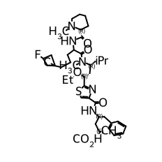 CCO[C@H](C[C@H](C(C)C)N(C)C(=O)C(CCCC12CC(F)(C1)C2)NC(=O)[C@H]1CCCCN1C)c1nc(C(=O)N[C@@H](Cc2ccccc2)C[C@H](C)C(=O)O)cs1